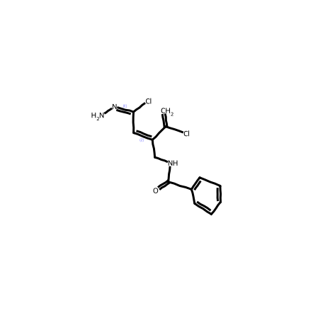 C=C(Cl)/C(=C\C(Cl)=N/N)CNC(=O)c1ccccc1